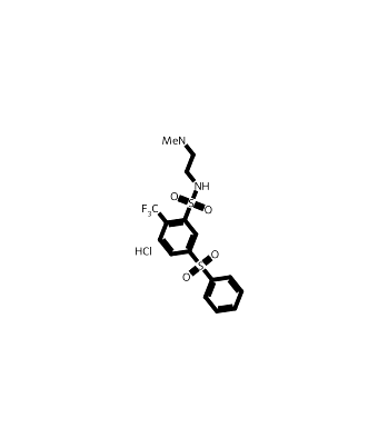 CNCCNS(=O)(=O)c1cc(S(=O)(=O)c2ccccc2)ccc1C(F)(F)F.Cl